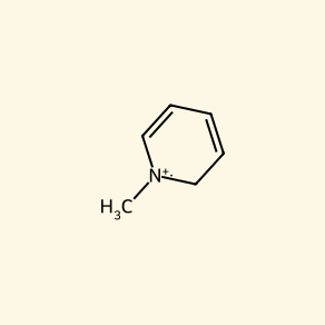 C[N+]1C=CC=CC1